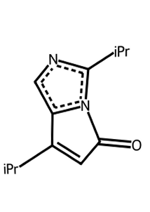 CC(C)C1=CC(=O)n2c1cnc2C(C)C